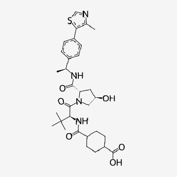 Cc1ncsc1-c1ccc([C@H](C)NC(=O)[C@@H]2C[C@@H](O)CN2C(=O)[C@@H](NC(=O)C2CCC(C(=O)O)CC2)C(C)(C)C)cc1